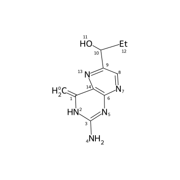 C=C1NC(N)=Nc2ncc(C(O)CC)nc21